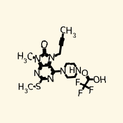 CC#CCn1c(=O)n(C)c2nc(SC)nc(N3CCNCC3)c21.O=C(O)C(F)(F)F